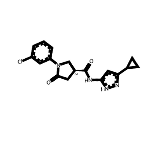 O=C(Nc1cc(C2CC2)n[nH]1)[C@H]1CC(=O)N(c2cccc(Cl)c2)C1